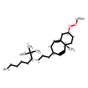 CCCCCCCCCOO[C@H]1CC[C@]2(C)C#CC(CCC[C@H](CCCCC(C)C)C(C)(C)CCC)CC=C2C1